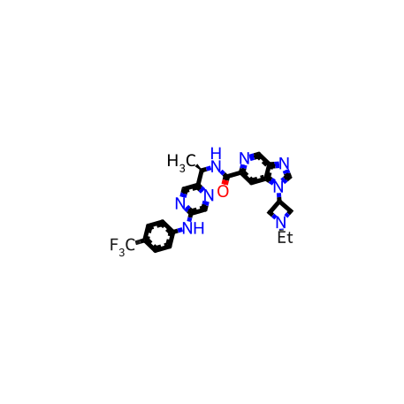 CCN1CC(n2cnc3cnc(C(=O)N[C@H](C)c4cnc(Nc5ccc(C(F)(F)F)cc5)cn4)cc32)C1